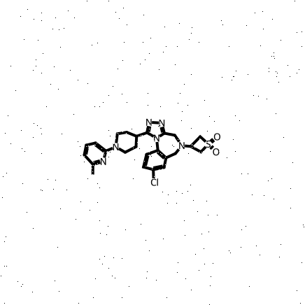 Cc1cccc(N2CCC(c3nnc4n3-c3ccc(Cl)cc3CN(C3CS(=O)(=O)C3)C4)CC2)n1